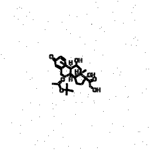 CC(=O)OC(C)(C)C.C[C@]12C=CC(=O)C=C1CC[C@@H]1[C@@H]2[C@@H](O)C[C@@]2(C)[C@H]1CC[C@]2(O)C(=O)CO